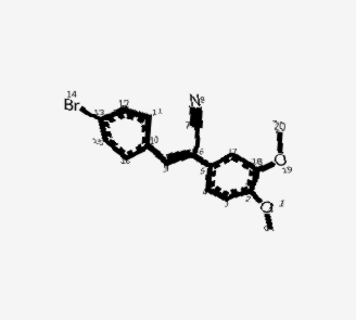 COc1ccc(/C(C#N)=C/c2ccc(Br)cc2)cc1OC